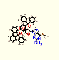 CSc1nc(N)nc2c1ncn2[C@@H]1O[C@H](COC(c2ccccc2)(c2ccccc2)c2ccccc2)[C@@H](O)[C@H]1OC(c1ccccc1)(c1ccccc1)c1ccccc1